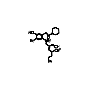 C=C/C(=C\C(C#N)=C/CC(C)C)CNc1cc(CC)c(O)cc1CNC1CCCCC1